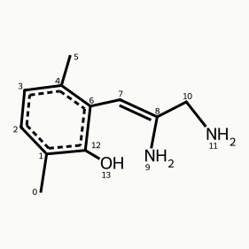 Cc1ccc(C)c(C=C(N)CN)c1O